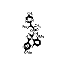 COc1ccc(-c2nnc(NS(=O)(=O)[C@@H](C)[C@@H](OC(C)C)c3ncc(C)cn3)n2-c2c(OC)cccc2OC)cn1